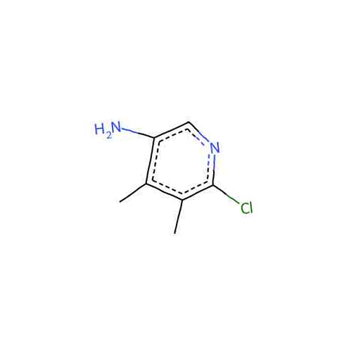 Cc1c(N)cnc(Cl)c1C